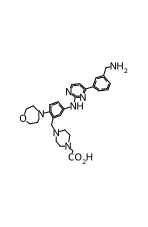 NCc1cccc(-c2ccnc(Nc3ccc(N4CCOCC4)c(CN4CCN(CC(=O)O)CC4)c3)n2)c1